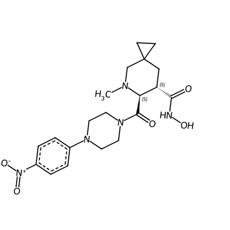 CN1CC2(CC2)C[C@H](C(=O)NO)[C@H]1C(=O)N1CCN(c2ccc([N+](=O)[O-])cc2)CC1